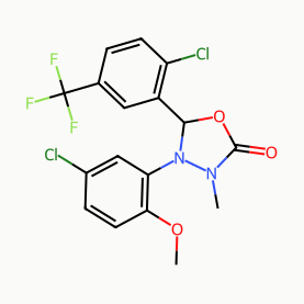 COc1ccc(Cl)cc1N1C(c2cc(C(F)(F)F)ccc2Cl)OC(=O)N1C